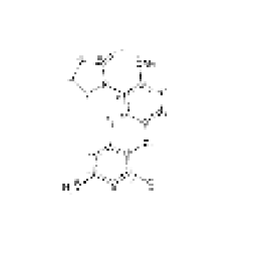 COc1ncc(Oc2c(Cl)cc(N)cc2Cl)cc1N1CCCC1=O